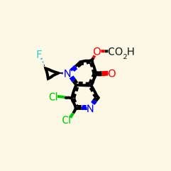 O=C(O)Oc1cn([C@@H]2C[C@@H]2F)c2c(Cl)c(Cl)ncc2c1=O